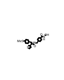 CSc1ccc(/C=C(/C(=O)NCc2ccc(C(=O)NO)cc2)c2ccsc2)cc1